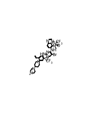 C=Cc1cc(Nc2ncc(Br)c(Nc3ccc4nccnc4c3N(C)S(=O)(=O)C(F)(F)F)n2)c(OC(F)(F)F)cc1N1CCC(N2CCN(C)CC2)CC1